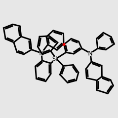 c1ccc(N(c2cccc([Si](c3ccccc3)(c3ccccc3)c3ccccc3N(c3ccccc3)c3ccc4ccccc4c3)c2)c2ccc3ccccc3c2)cc1